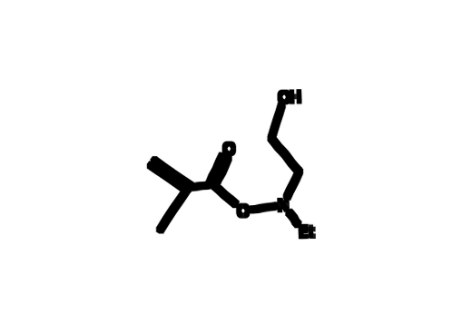 C=C(C)C(=O)ON(CC)CCO